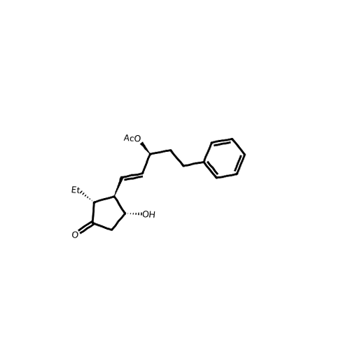 CC[C@H]1C(=O)C[C@@H](O)[C@@H]1C=C[C@H](CCc1ccccc1)OC(C)=O